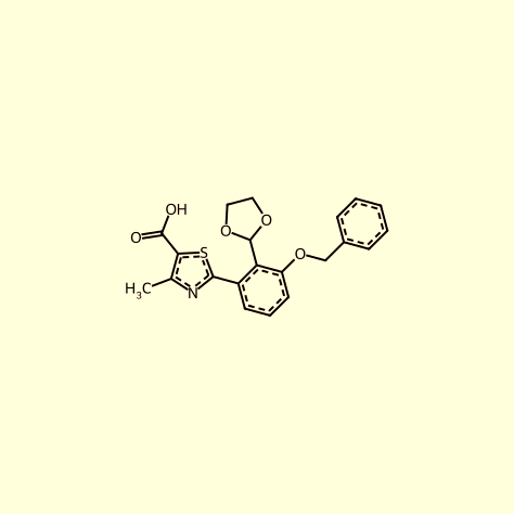 Cc1nc(-c2cccc(OCc3ccccc3)c2C2OCCO2)sc1C(=O)O